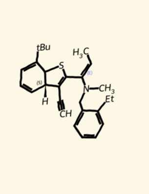 C#CC1=C(/C(=C\C)N(C)Cc2ccccc2CC)SC2C(C(C)(C)C)=CC=C[C@@H]12